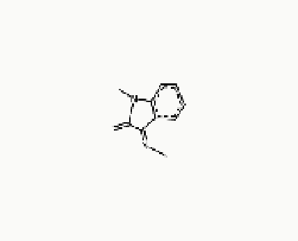 C=C1/C(=N/C)c2ccccc2N1C